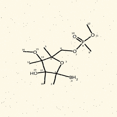 BC1(C)OC(C)(COP(C)(=O)OC)C(C)(OC)C1(C)O